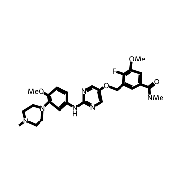 CNC(=O)c1cc(COc2cnc(Nc3ccc(OC)c(N4CCN(C)CC4)c3)nc2)c(F)c(OC)c1